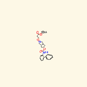 CC(C)(C)OC(=O)CCON1CC2CC(OC(=O)Nc3ccccc3-c3ccccc3)CC2C1